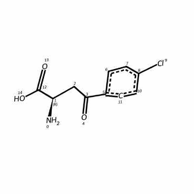 N[C@H](CC(=O)c1ccc(Cl)cc1)C(=O)O